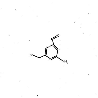 Nc1cc(CBr)cc(N=O)c1